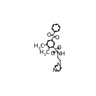 Cc1cc(S(=O)(=O)c2ccccc2)cc(S(=O)(=O)NCCn2ccnc2)c1C